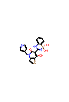 O=c1c(C2=NS(O)(O)c3ccccc3N2)c(O)c2sccc2n1Cc1ccncc1